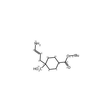 CC(C)(C)OC(=O)C1CCC(CC=CN)(C(=O)O)CC1